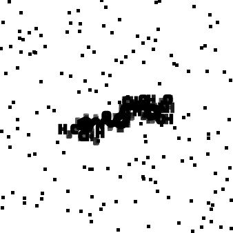 Cc1ccc(CNC(=O)Cc2cccc(CC(C)(C)NC[C@H](O)c3ccc(O)c(NC=O)c3)c2)cc1C